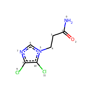 NC(=O)CCn1cnc(Cl)c1Cl